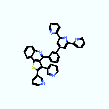 c1ccc(-c2cc(-c3cccc(-c4nc5ccccc5c5sc(-c6cccnc6)c(-c6cccnc6)c45)c3)cc(-c3ccccn3)n2)nc1